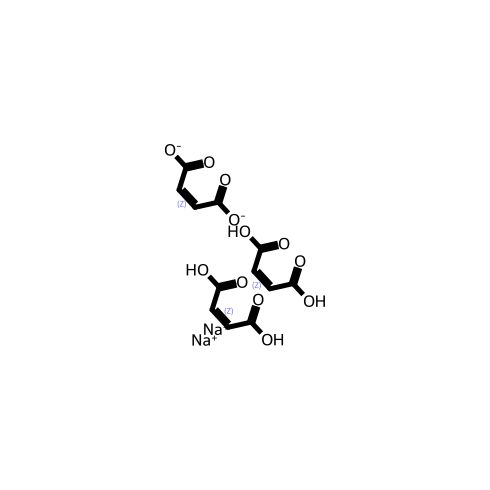 O=C(O)/C=C\C(=O)O.O=C(O)/C=C\C(=O)O.O=C([O-])/C=C\C(=O)[O-].[Na+].[Na+]